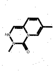 CC1=CN2C(=O)N(C)NC=C2C=C1